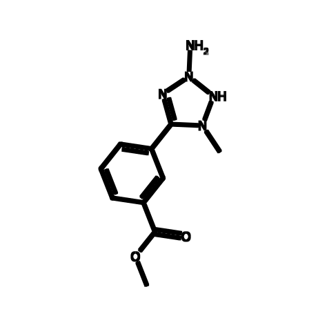 COC(=O)c1cccc(C2=NN(N)NN2C)c1